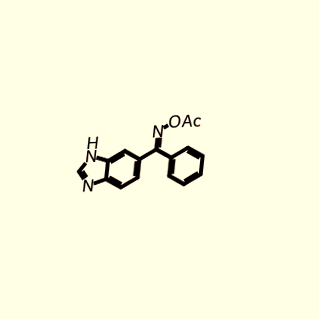 CC(=O)ON=C(c1ccccc1)c1ccc2nc[nH]c2c1